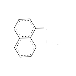 O.Oc1cccc2ccccc12.[Zn]